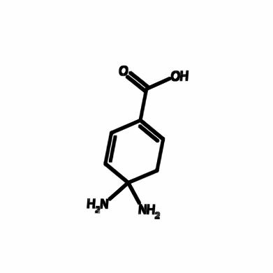 NC1(N)C=CC(C(=O)O)=CC1